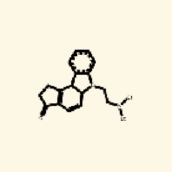 CCN(CC)CCN1c2ccccc2C2C3=C(C=CC21)C(=O)CC3